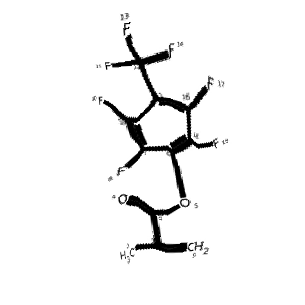 C=C(C)C(=O)Oc1c(F)c(F)c(C(F)(F)F)c(F)c1F